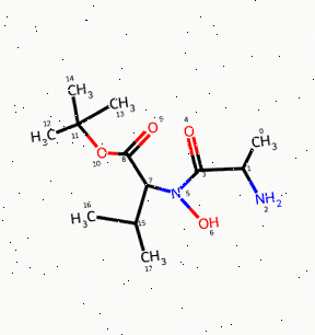 CC(N)C(=O)N(O)C(C(=O)OC(C)(C)C)C(C)C